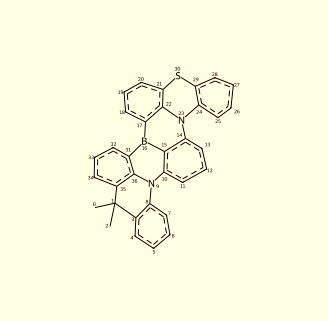 CC1(C)c2ccccc2N2c3cccc4c3B(c3cccc5c3N4c3ccccc3S5)c3cccc1c32